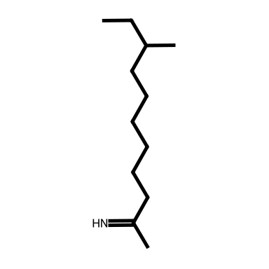 CCC(C)CCCCCCC(C)=N